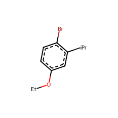 [CH2]C(C)c1cc(OCC)ccc1Br